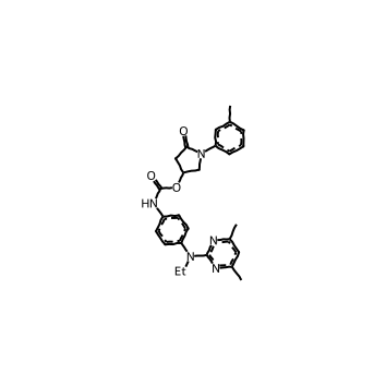 CCN(c1ccc(NC(=O)OC2CC(=O)N(c3cccc(C)c3)C2)cc1)c1nc(C)cc(C)n1